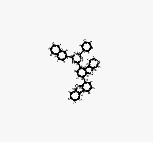 c1ccc(-c2nc(-c3ccc4ccccc4c3)nc(-c3ccc(-c4cccc5c4oc4ccccc45)c4oc5cnccc5c34)n2)cc1